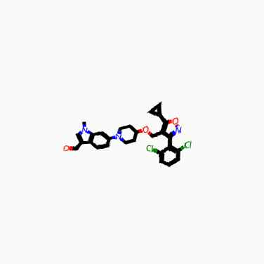 Cn1cc(C=O)c2ccc(N3CCC(OCc4c(-c5c(Cl)cccc5Cl)noc4C4CC4)CC3)cc21